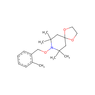 Cc1ccccc1CON1C(C)(C)CC2(CC1(C)C)OCCO2